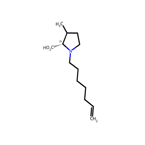 C=CCCCCCN1CCC(C)[C@H]1C(=O)O